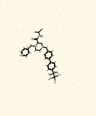 CC(C)NC(=O)C1CN(Cc2ccc(-c3ccc(C(C)(C)C(F)(F)F)cc3)cc2)CCN1Cc1ccncc1